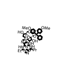 CCC(Nc1nc(NC(=O)C(C)C)nc2c1N=C[N+]2([C@@H]1C[C@H](O)[C@@H](CO)O1)[C@@H]1O[C@H](COC(c2ccccc2)(c2ccc(OC)cc2)c2ccc(OC)cc2)[C@@H](O)[C@H]1O)n1ccnc1